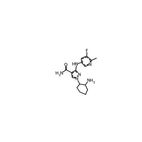 Cc1ncc(Nc2nn(C3CCCCC3N)cc2C(N)=O)cc1F